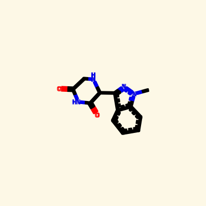 Cn1nc(C2NCC(=O)NC2=O)c2ccccc21